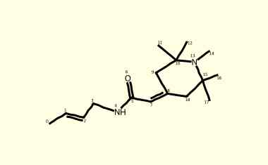 C/C=C/CNC(=O)C=C1CC(C)(C)N(C)C(C)(C)C1